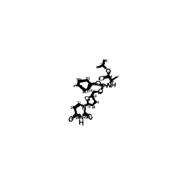 CC(C)OC(=O)C(C)N[P@](OCC1CCC(n2ccc(=O)[nH]c2=O)O1)Oc1ccccc1